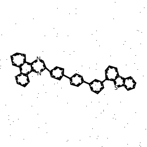 c1cc(-c2ccc(-c3ccc(-c4cnc5c6ccccc6c6ccccc6c5n4)cc3)cc2)cc(-c2cccc3c2sc2ccccc23)c1